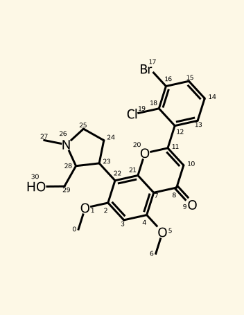 COc1cc(OC)c2c(=O)cc(-c3cccc(Br)c3Cl)oc2c1C1CCN(C)C1CO